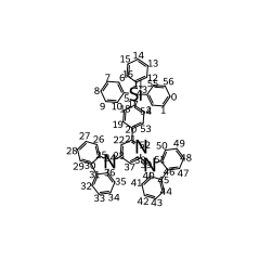 c1ccc([Si](c2ccccc2)(c2ccccc2)c2ccc(-c3cc(-n4c5ccccc5c5ccccc54)cc(-n4c5ccccc5c5ccccc54)n3)cc2)cc1